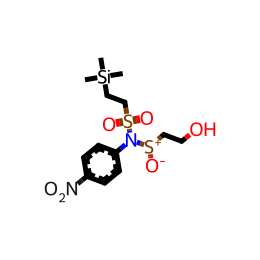 C[Si](C)(C)CCS(=O)(=O)N(c1ccc([N+](=O)[O-])cc1)[S+]([O-])CCO